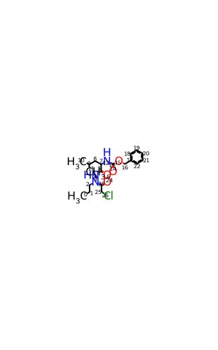 CCCN(NC(=O)C(CC(C)C)NC(=O)OCc1ccccc1)C(=O)CCl